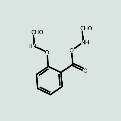 O=CNOC(=O)c1ccccc1ONC=O